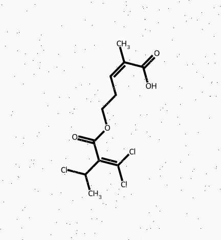 CC(=CCCOC(=O)C(=C(Cl)Cl)C(C)Cl)C(=O)O